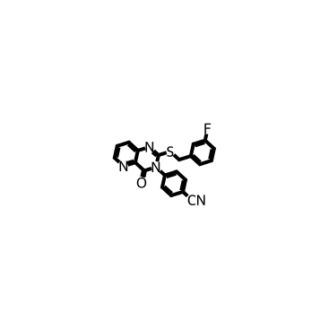 N#Cc1ccc(-n2c(SCc3cccc(F)c3)nc3cccnc3c2=O)cc1